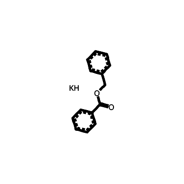 O=C(OCc1ccccc1)c1ccccc1.[KH]